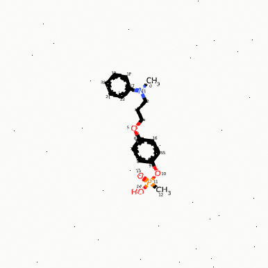 CN(CCCOc1ccc(OP(C)(=O)O)cc1)c1ccccc1